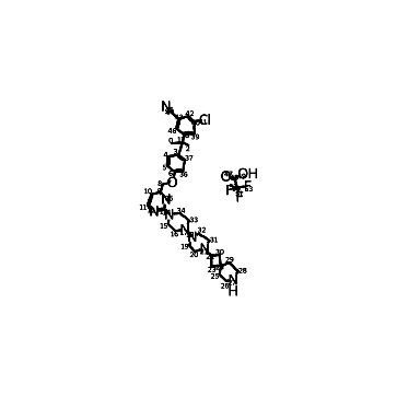 CC(C)(c1ccc(OCc2ccnc(N3CCN(N4CCN(C5CC6(CCNCC6)C5)CC4)CC3)n2)cc1)c1cc(Cl)cc(C#N)c1.O=C(O)C(F)(F)F